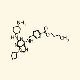 CCCCOC(=O)c1ccc(CNc2nc(NC3CCC(N)CC3)nc3c2ncn3C2CCCC2)cc1